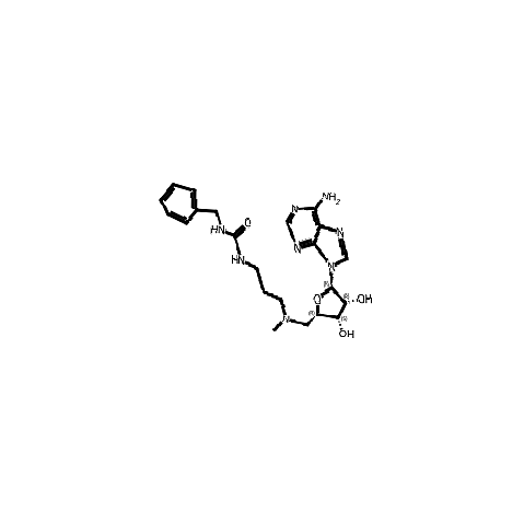 CN(CCCNC(=O)NCc1ccccc1)C[C@H]1O[C@@H](n2cnc3c(N)ncnc32)[C@H](O)[C@@H]1O